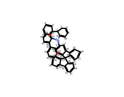 C1=CCC(c2ccccc2)C(N(c2ccc3c(c2)-c2ccccc2C32c3ccccc3-c3ccccc32)c2ccccc2-c2ccccc2)=C1